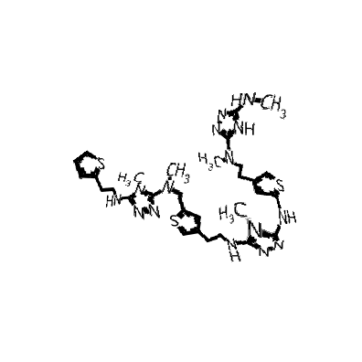 CNc1nnc(N(C)CCc2csc(Nc3nnc(NCCc4csc(CN(C)c5nnc(NCCc6cccs6)n5C)c4)n3C)c2)[nH]1